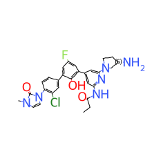 CCC(=O)Nc1cc(-c2cc(F)cc(-c3ccc(-n4ccn(C)c4=O)c(Cl)c3)c2O)cc(N2CC[C@H](N)C2)n1